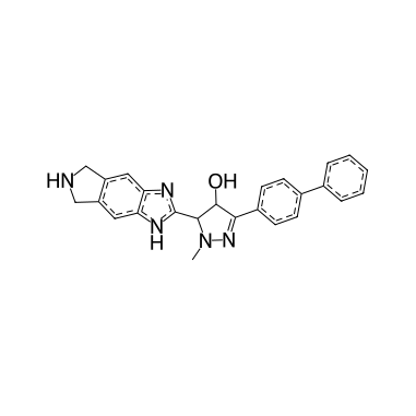 CN1N=C(c2ccc(-c3ccccc3)cc2)C(O)C1c1nc2cc3c(cc2[nH]1)CNC3